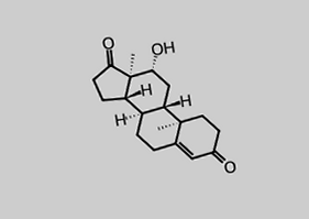 C[C@@]12C(=O)CC[C@H]1[C@@H]1CCC3=CC(=O)CC[C@]3(C)[C@H]1C[C@H]2O